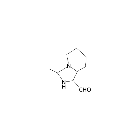 CC1NC(C=O)C2CCCCN12